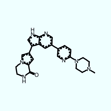 CN1CCN(c2ccc(-c3cnc4[nH]cc(-c5cc6n(c5)CCNC6=O)c4c3)cn2)CC1